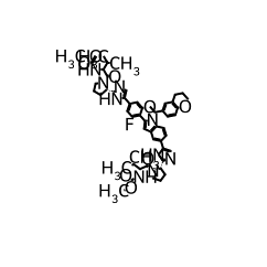 COC(=O)NC(C(=O)N1CCC[C@H]1c1ncc(-c2cc(F)c3c(c2)OC(c2ccc4c(c2)CCCO4)n2c-3cc3cc(-c4cnc([C@@H]5CCCN5C(=O)C(NC(=O)OC)C(C)C)[nH]4)ccc32)[nH]1)C(C)C